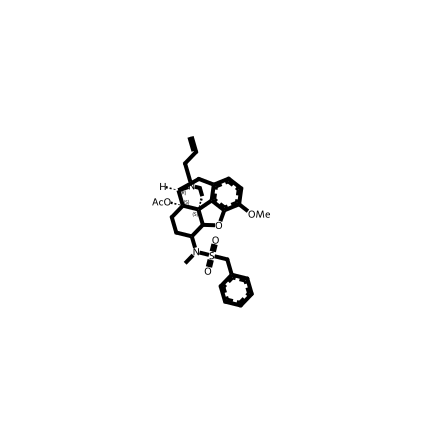 C=CCN1CC[C@]23c4c5ccc(OC)c4OC2C(N(C)S(=O)(=O)Cc2ccccc2)CC[C@@]3(OC(C)=O)[C@H]1C5